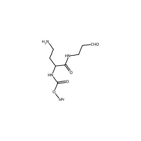 CCCOC(=O)NC(CCN)C(=O)NCCC=O